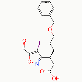 O=Cc1onc([C@@H](CCCOCc2ccccc2)CC(=O)O)c1I